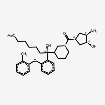 COCCCCC[C@@](O)(c1ccccc1Oc1ccccc1C)C1CCCN(C(=O)[C@H]2C[C@@H](N)[C@@H](O)C2)C1